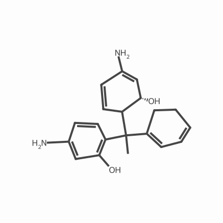 CC(C1=CC=CCC1)(c1ccc(N)cc1O)C1C=CC(N)=C[C@@H]1O